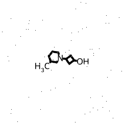 CC1CCCN(C2CC(O)C2)C1